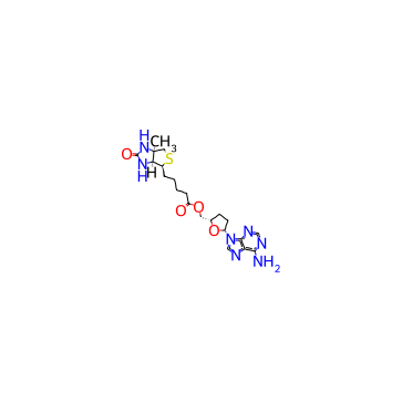 C[C@]12CS[C@@H](CCCCC(=O)OC[C@@H]3CC[C@H](n4cnc5c(N)ncnc54)O3)[C@H]1NC(=O)N2